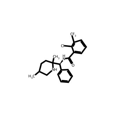 CC1CCC(C)([C@@H](NC(=O)c2cccc(C(F)(F)F)c2Cl)c2ccccc2)NC1